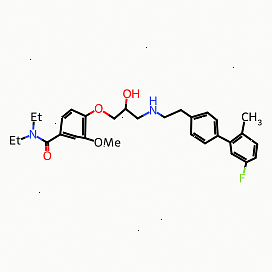 CCN(CC)C(=O)c1ccc(OCC(O)CNCCc2ccc(-c3cc(F)ccc3C)cc2)c(OC)c1